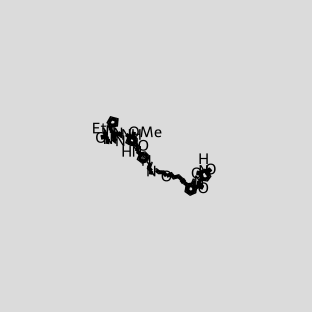 CC[C@@H]1C(=O)N(C)c2cnc(Nc3ccc(C(=O)NC4CCN(CCN(C)CCCOCCCC#Cc5cccc6c5CN(C5CCC(=O)NC5=O)C6=O)CC4)cc3OC)nc2N1C1CCCC1